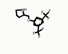 FC(F)(F)c1cc(OCC2CCCN2)cc(C(F)(F)F)c1